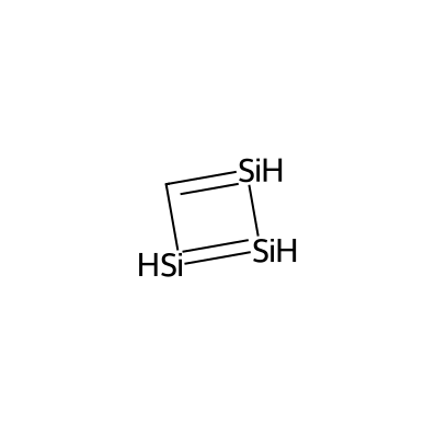 C1=[SiH][SiH]=[SiH]1